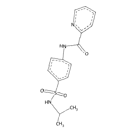 CC(C)NS(=O)(=O)c1ccc(NC(=O)c2ccccn2)cc1